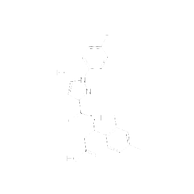 Cc1ccc(C(CC(=O)O)NC(=O)c2cc(O)n(-c3ccc(F)cc3)n2)c(C)c1